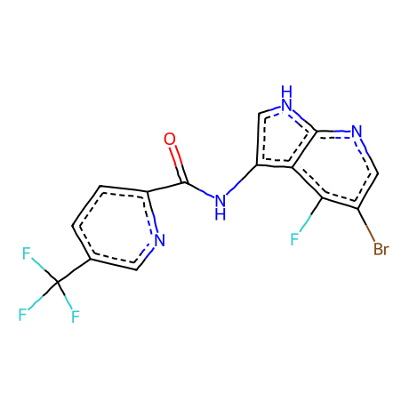 O=C(Nc1c[nH]c2ncc(Br)c(F)c12)c1ccc(C(F)(F)F)cn1